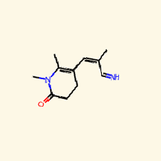 CC1=C(/C=C(/C)C=N)CCC(=O)N1C